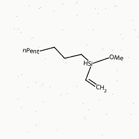 C=C[SiH](CCCCCCCC)OC